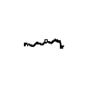 CC(C)CCCOC/C=C\Br